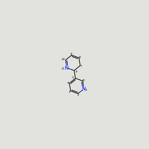 [c]1ncccc1C1CC=CC=N1